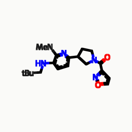 CNc1nc(C2CCN(C(=O)c3ccon3)C2)ccc1NCC(C)(C)C